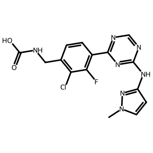 Cn1ccc(Nc2ncnc(-c3ccc(CNC(=O)O)c(Cl)c3F)n2)n1